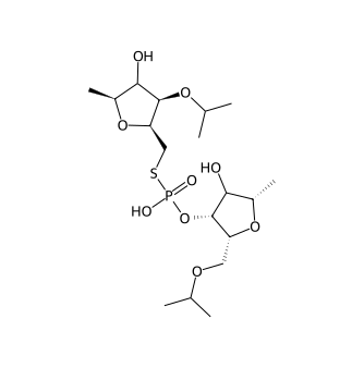 CC(C)OC[C@H]1O[C@@H](C)C(O)[C@H]1OP(=O)(O)SC[C@H]1O[C@@H](C)C(O)[C@H]1OC(C)C